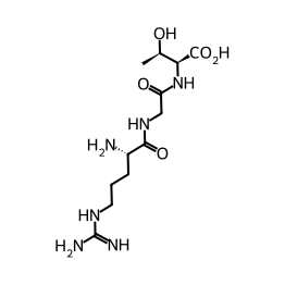 C[C@@H](O)[C@H](NC(=O)CNC(=O)[C@@H](N)CCCNC(=N)N)C(=O)O